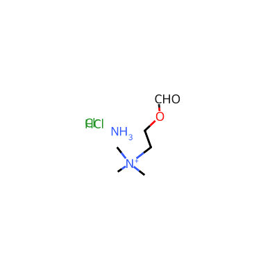 C[N+](C)(C)CCOC=O.Cl.N.[Cl-]